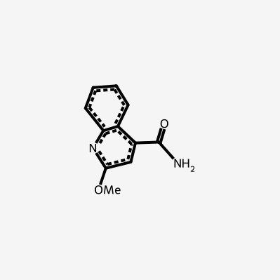 COc1cc(C(N)=O)c2ccccc2n1